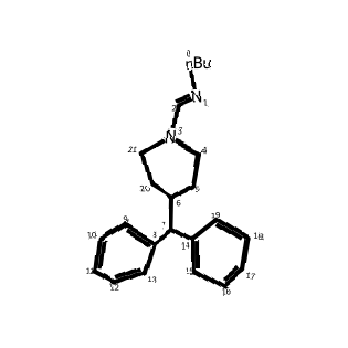 CCCCN=CN1CCC(C(c2ccccc2)c2ccccc2)CC1